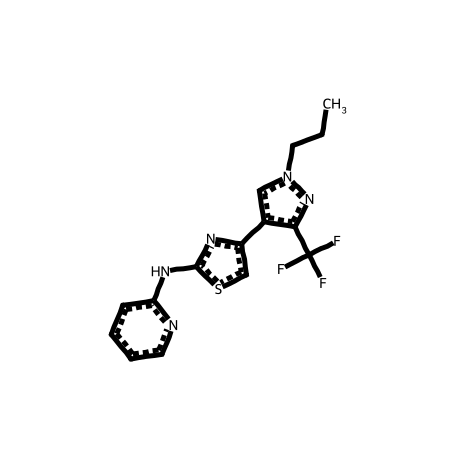 CCCn1cc(-c2csc(Nc3ccccn3)n2)c(C(F)(F)F)n1